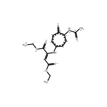 CCOC(=O)/C=C(\Nc1ccc(NC(C)=O)c(=O)cc1)C(=O)OCC